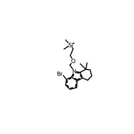 CC1(C)CCCc2c1n(COCC[Si](C)(C)C)c1c(Br)cccc21